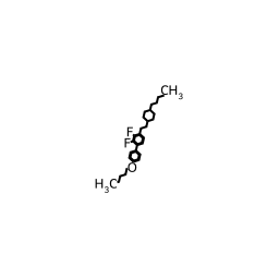 CCCCCOc1ccc(-c2ccc(CCC3CCC(CCCCC)CC3)c(F)c2F)cc1